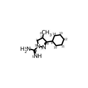 CC1CN(C(=N)N)N=C1C1CCCCC1